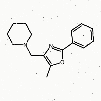 Cc1oc(-c2ccccc2)nc1CN1CCCCC1